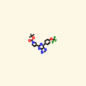 Cn1cnc2c(-c3ccc(OC(F)(F)F)cc3)nc(C3=CCN(C(=O)OC(C)(C)C)C3)nc21